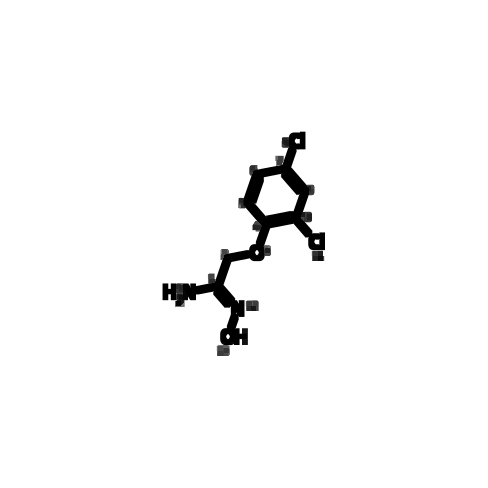 NC(COc1ccc(Cl)cc1Cl)=NO